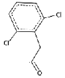 O=[C]Cc1c(Cl)cccc1Cl